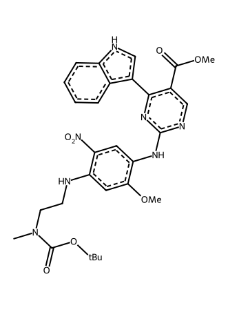 COC(=O)c1cnc(Nc2cc([N+](=O)[O-])c(NCCN(C)C(=O)OC(C)(C)C)cc2OC)nc1-c1c[nH]c2ccccc12